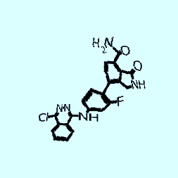 NC(=O)c1ccc(-c2ccc(Nc3nnc(Cl)c4ccccc34)cc2F)c2c1C(=O)NC2